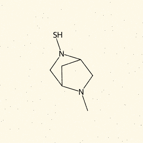 CN1CC2CC1CN2S